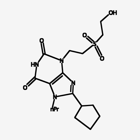 CCCn1c(C2CCCC2)nc2c1c(=O)[nH]c(=O)n2CCS(=O)(=O)CCO